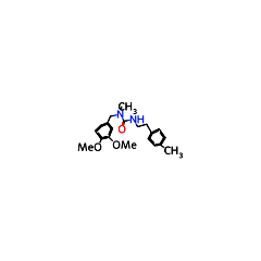 COc1ccc(CN(C)C(=O)NCCc2ccc(C)cc2)cc1OC